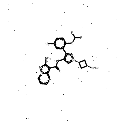 CN[C@H]1C[C@@H](n2cc(NC(=O)c3c(N)nn4cccnc34)c(-c3cc(Cl)ccc3OC(F)F)n2)C1